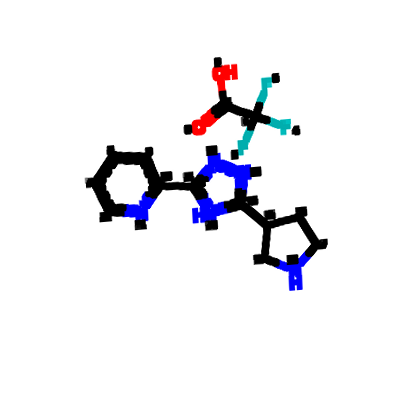 O=C(O)C(F)(F)F.c1ccc(-c2nnc(C3CCNC3)[nH]2)nc1